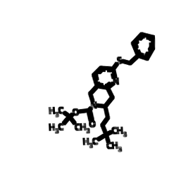 CC(C)(C)CCC1Cc2nc(SCc3ccccc3)ccc2CN1C(=O)OC(C)(C)C